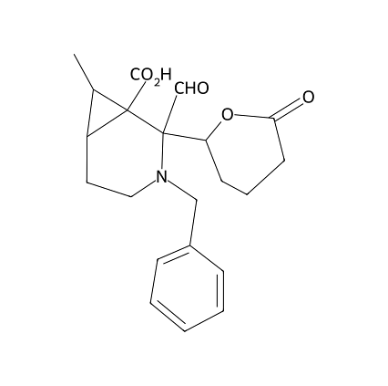 CC1C2CCN(Cc3ccccc3)C(C=O)(C3CCCC(=O)O3)C12C(=O)O